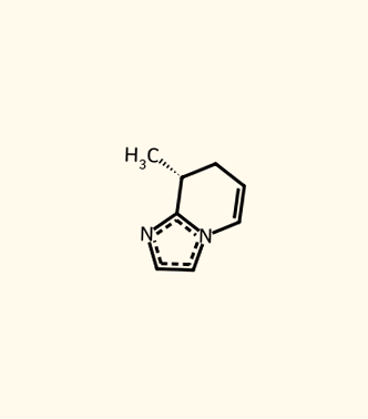 C[C@@H]1CC=Cn2ccnc21